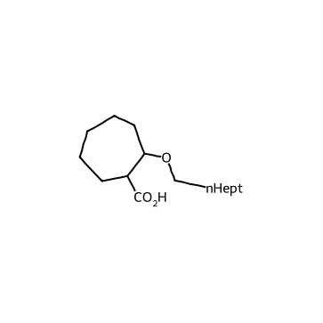 CCCCCCCCOC1CCCCCC1C(=O)O